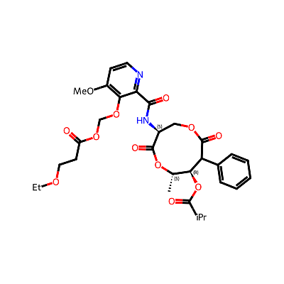 CCOCCC(=O)OCOc1c(OC)ccnc1C(=O)N[C@H]1COC(=O)C(c2ccccc2)[C@@H](OC(=O)C(C)C)[C@H](C)OC1=O